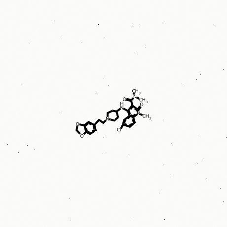 CN(C)C(=O)c1c(NC2CCN(CCc3ccc4c(c3)OCO4)CC2)c2cc(Cl)ccc2n(C)c1=O